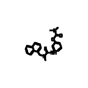 CN(C)C(=O)Oc1cccc(NC(=S)N(C)Cc2cccc3ccccc23)c1